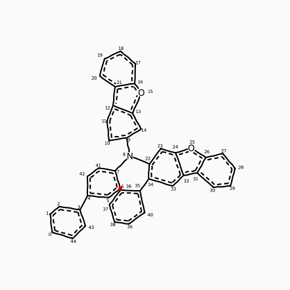 c1ccc(-c2ccc(N(c3ccc4c(c3)oc3ccccc34)c3cc4oc5ccccc5c4cc3-c3ccccc3)cc2)cc1